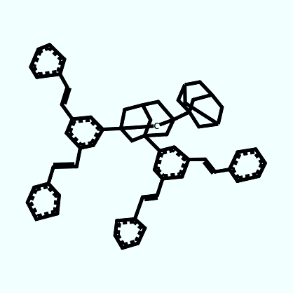 C(=Cc1cc(C=Cc2ccccc2)cc(C23CC4CC(c5cc(C=Cc6ccccc6)cc(C=Cc6ccccc6)c5)(C2)CC(C25CC6CC(CC(C6)C2)C5)(C4)C3)c1)c1ccccc1